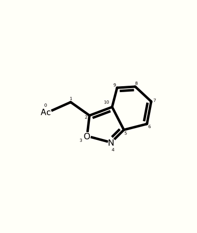 CC(=O)Cc1onc2ccccc12